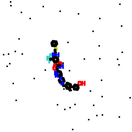 Cc1cc(CN2CCN(c3ccc(C(=O)NS(=O)(=O)c4ccc(NCCSc5ccccc5)c(C(F)(F)F)c4)nn3)CC2)ccc1-c1cccc(O)c1